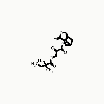 CCC(C)(C)C(=O)OCC(=O)C(=O)OC1C2CC3C(=O)OC1C3C2